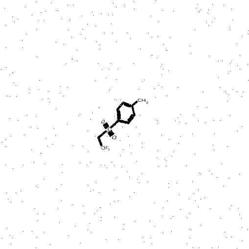 [CH2]c1ccc(S(=O)(=O)CC)cc1